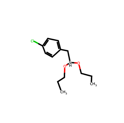 CCCO[SiH](Cc1ccc(Cl)cc1)OCCC